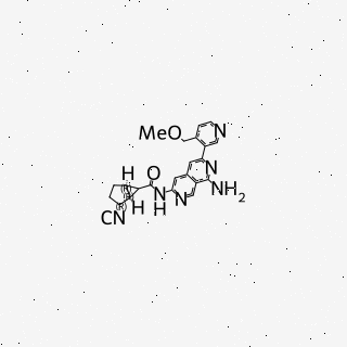 COCc1ccncc1-c1cc2cc(NC(=O)C3[C@H]4[C@H](C#N)CC[C@@H]34)ncc2c(N)n1